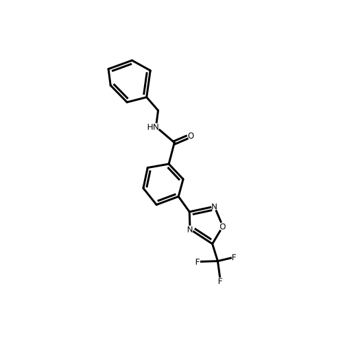 O=C(NCc1ccccc1)c1cccc(-c2noc(C(F)(F)F)n2)c1